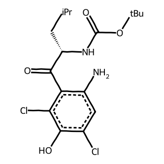 CC(C)C[C@H](NC(=O)OC(C)(C)C)C(=O)c1c(N)cc(Cl)c(O)c1Cl